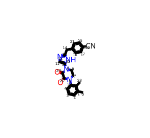 Cc1cccc(N2CCN(c3cnc(Cc4ccc(C#N)cc4)[nH]3)C(=O)C2=O)c1C